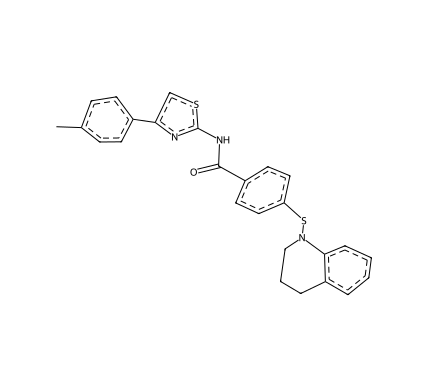 Cc1ccc(-c2csc(NC(=O)c3ccc(SN4CCCc5ccccc54)cc3)n2)cc1